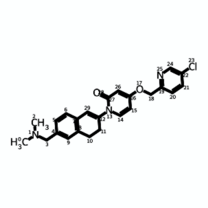 CN(C)Cc1ccc2c(c1)CCC(n1ccc(OCc3ccc(Cl)cn3)cc1=O)=C2